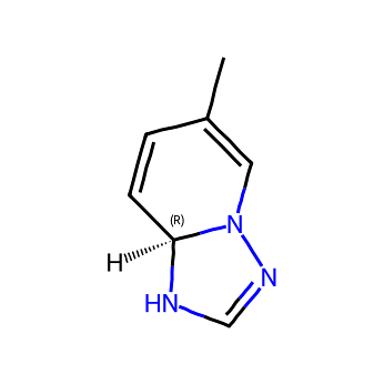 CC1=CN2N=CN[C@H]2C=C1